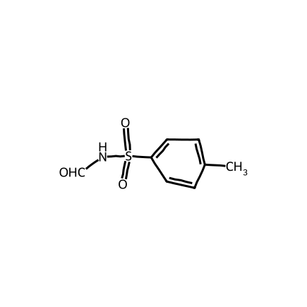 Cc1ccc(S(=O)(=O)NC=O)cc1